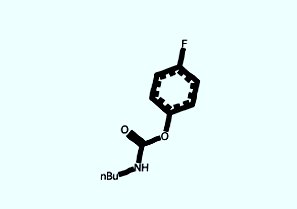 CCCCNC(=O)Oc1ccc(F)cc1